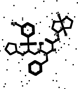 Nc1cccc(S(=O)(=O)N(C[C@H](O)[C@H](Cc2ccccc2)NC(=O)O[C@@H]2CO[C@@H]3OCC[C@@H]32)OC2CCCC2)c1